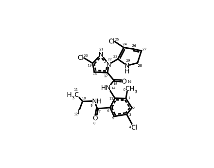 Cc1cc(Cl)cc(C(=O)NC(C)I)c1NC(=O)c1cc(Cl)nn1C1=C(Cl)C=CCN1